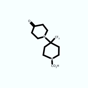 O=C1CCN(C2(C(F)(F)F)CCN(C(=O)O)CC2)CC1